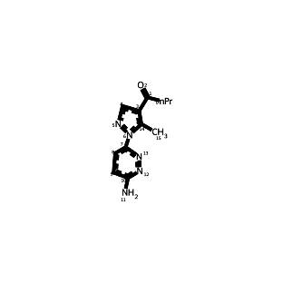 CCCC(=O)c1cnn(-c2ccc(N)nn2)c1C